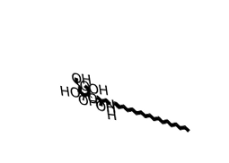 CCCCCCCCCCCCCCCC/C=C/NCC(O)CO[C@@H]1[C@@H](O)[C@@H](O)[C@@H](CO)O[C@H]1O